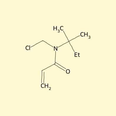 C=CC(=O)N(CCl)C(C)(C)CC